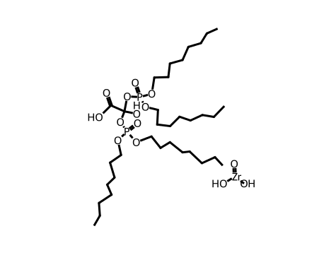 CCCCCCCCOP(=O)(OCCCCCCCC)OC(O)(OP(=O)(OCCCCCCCC)OCCCCCCCC)C(=O)O.[O]=[Zr]([OH])[OH]